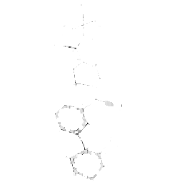 C#CC(c1cccc(-c2ccccc2C)c1)N1CCN(C(=O)OC(C)(C)C)CC1